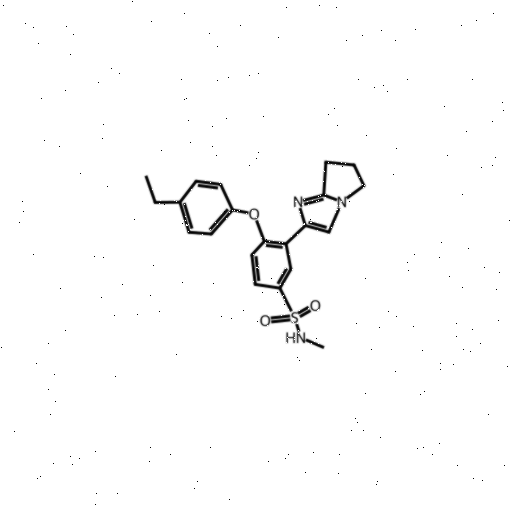 CCc1ccc(Oc2ccc(S(=O)(=O)NC)cc2-c2cn3c(n2)CCC3)cc1